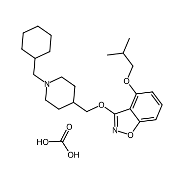 CC(C)COc1cccc2onc(OCC3CCN(CC4CCCCC4)CC3)c12.O=C(O)O